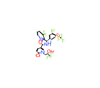 O=C(NC(c1ccc(OC(F)(F)F)c(F)c1)c1ncccc1F)c1ccc(=O)n(C[C@@H](O)C(F)(F)F)c1